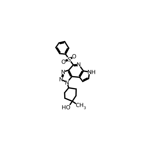 CC1(O)CCC(n2nnc3c(S(=O)(=O)c4ccccc4)nc4[nH]ccc4c32)CC1